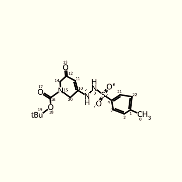 Cc1ccc(S(=O)(=O)NNC2=CC(=O)CN(C(=O)OC(C)(C)C)C2)cc1